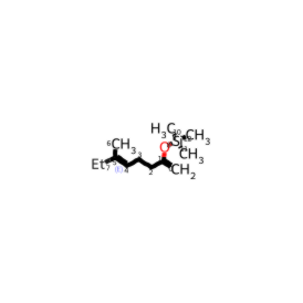 C=C(CC/C=C(\C)CC)O[Si](C)(C)C